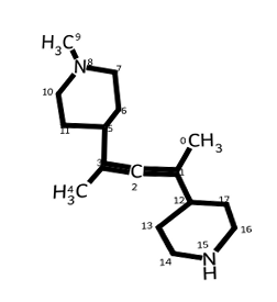 CC(=C=C(C)C1CCN(C)CC1)C1CCNCC1